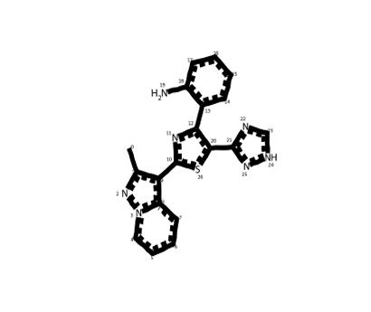 Cc1nn2ccccc2c1-c1nc(-c2ccccc2N)c(-c2nc[nH]n2)s1